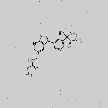 CC(C)C(N)(C(N)=O)c1cncc(-c2c[nH]c3ncc(CNC(=O)CC(F)(F)F)cc23)c1